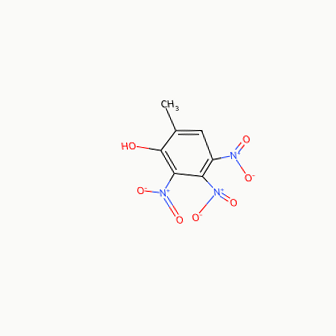 Cc1cc([N+](=O)[O-])c([N+](=O)[O-])c([N+](=O)[O-])c1O